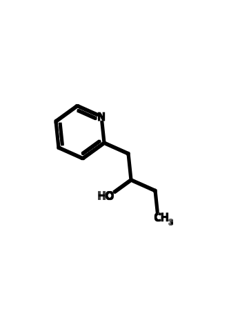 CCC(O)Cc1ccccn1